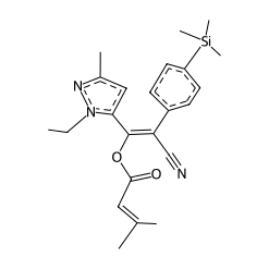 CCn1nc(C)cc1/C(OC(=O)C=C(C)C)=C(/C#N)c1ccc([Si](C)(C)C)cc1